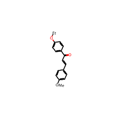 CCOc1ccc(C(=O)C=Cc2ccc(OC)cc2)cc1